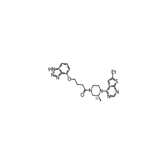 CCc1cc2c(N3CCN(C(=O)CCCOc4cccc5[nH]nnc45)C[C@@H]3C)ncnc2s1